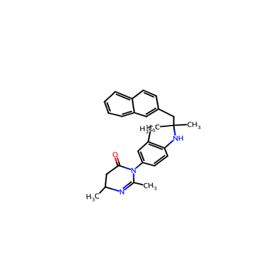 CC1=NC(C)CC(=O)N1c1ccc(NC(C)(C)Cc2ccc3ccccc3c2)c(C)c1